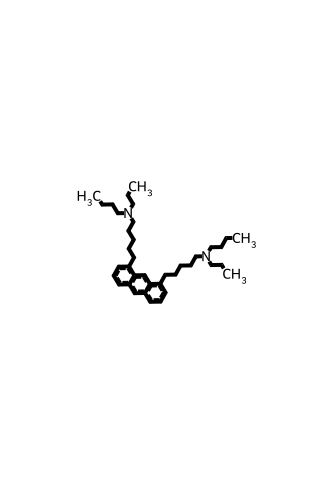 CCCCN(CCC)CCCCCc1cccc2cc3cccc(CCCCCN(CCC)CCCC)c3cc12